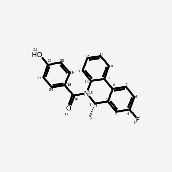 C[C@H]1c2cc(F)ccc2-c2ccccc2N1C(=O)c1ccc(O)cc1